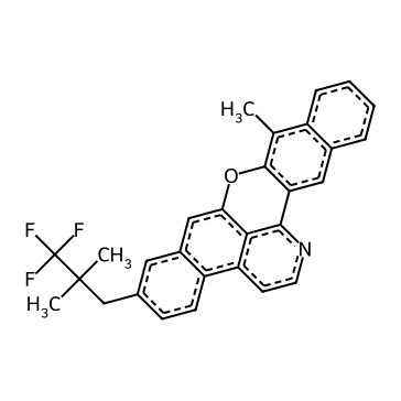 Cc1c2c(cc3ccccc13)-c1nccc3c1c(cc1cc(CC(C)(C)C(F)(F)F)ccc13)O2